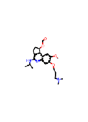 COc1cc2c3c(c(NC(C)C)nc2cc1OCCCN(C)C)CCC3OC=O